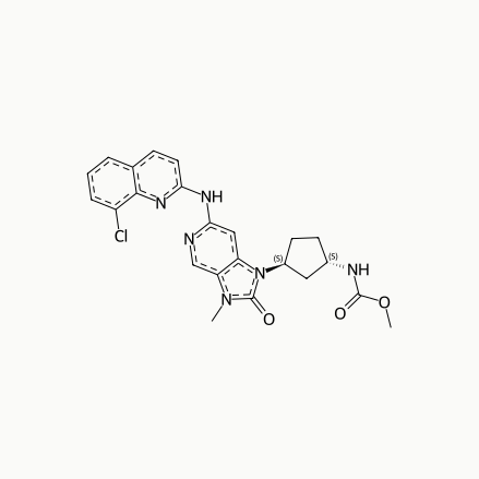 COC(=O)N[C@H]1CC[C@H](n2c(=O)n(C)c3cnc(Nc4ccc5cccc(Cl)c5n4)cc32)C1